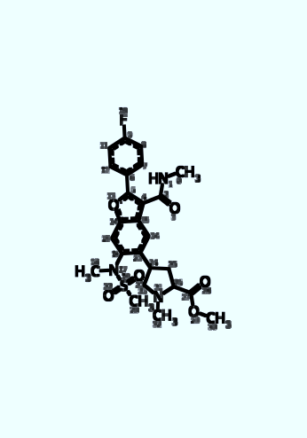 CNC(=O)c1c(-c2ccc(F)cc2)oc2cc(N(C)S(C)(=O)=O)c(C3CC(C(=O)OC)N(C)C3)cc12